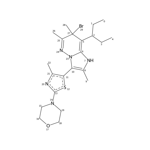 CCC(CC)C1=C2NC(C)=C(c3sc(N4CCOCC4)nc3C)N2N=C(C)C1(C)Br